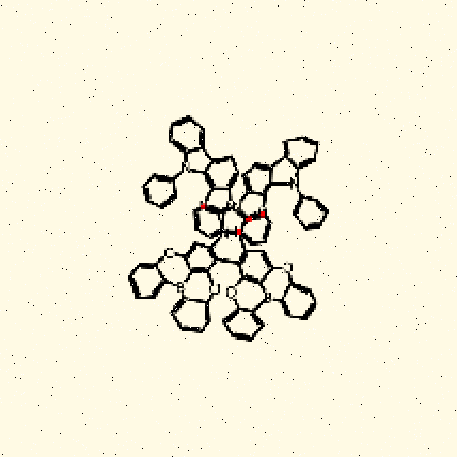 c1ccc(-n2c3ccccc3c3ccc4c(nc5n(-c6cc7c8c(c6-c6c(-n9c%10ccccc%10n%10c%11ccc%12c%13ccccc%13n(-c%13ccccc%13)c%12c%11nc9%10)cc9c%10c6Oc6ccccc6B%10c6ccccc6O9)Oc6ccccc6B8c6ccccc6O7)c6ccccc6n45)c32)cc1